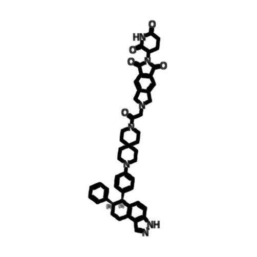 O=C1CCC(N2C(=O)c3cc4c(cc3C2=O)CN(CC(=O)N2CCC3(CC2)CCN(c2ccc([C@H]5c6ccc7[nH]ncc7c6CC[C@H]5c5ccccc5)cc2)CC3)C4)C(=O)N1